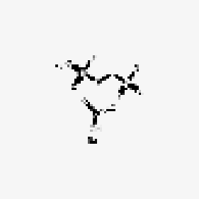 O=S(=O)([O-])SSS(=O)(=O)[O-].[Na+].[Na+].[O-][Br+2]([O-])O